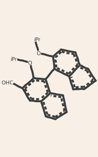 CC(C)Oc1ccc2ccccc2c1-c1c(OC(C)C)c(C=O)cc2ccccc12